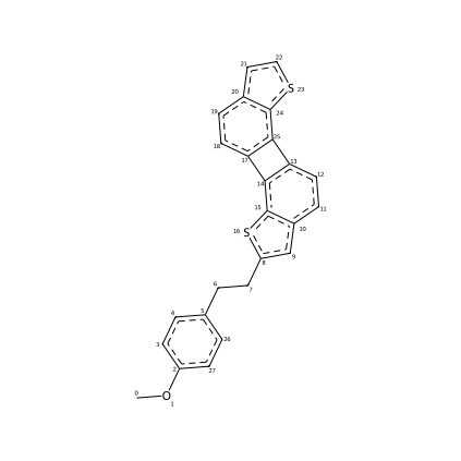 COc1ccc(CCc2cc3ccc4c(c3s2)-c2ccc3ccsc3c2-4)cc1